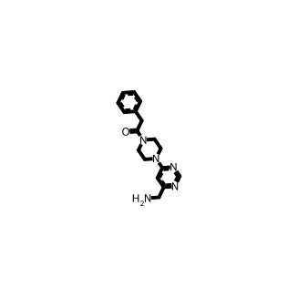 NCc1cc(N2CCN(C(=O)Cc3ccccc3)CC2)ncn1